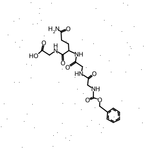 NC(=O)CCC(NC(=O)CNC(=O)CNC(=O)OCc1ccccc1)C(=O)NCC(=O)O